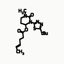 CC=CCCC(=O)OC1CCN(C)C(=O)N1c1nnc(C(C)(C)C)s1